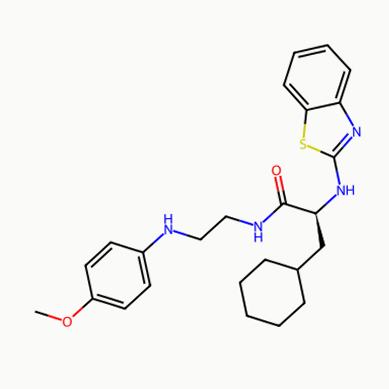 COc1ccc(NCCNC(=O)[C@H](CC2CCCCC2)Nc2nc3ccccc3s2)cc1